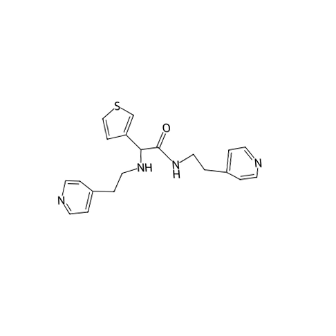 O=C(NCCc1ccncc1)C(NCCc1ccncc1)c1ccsc1